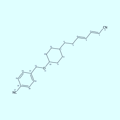 N#CC=CC=CCCC1CCC(OCc2ccc(C#N)cc2)CC1